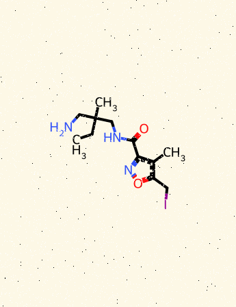 CCC(C)(CN)CNC(=O)c1noc(CI)c1C